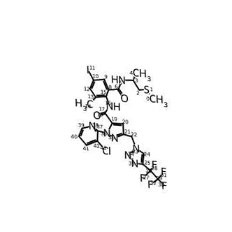 CSC[C@H](C)NC(=O)c1cc(I)cc(C)c1NC(=O)c1cc(Cn2cc(C(F)(F)C(F)(F)F)nn2)nn1-c1ncccc1Cl